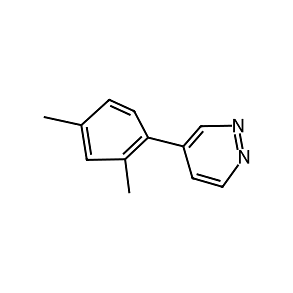 Cc1ccc(-c2ccnnc2)c(C)c1